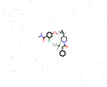 CN(C)C(=O)c1ccc(OC[C@@H]2C[C@@]2(C)C2CCN(C(=O)[C@H](c3ccccc3)C(F)(F)C(F)(F)F)CC2)cc1Cl